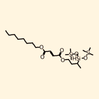 CCCCCCCCOC(=O)/C=C/C(=O)OCCC(C)[SiH](O[Si](C)(C)C)O[Si](C)(C)C